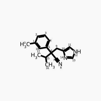 Cc1cccc(C(C#N)(Cc2c[nH]cn2)C(C)C)c1